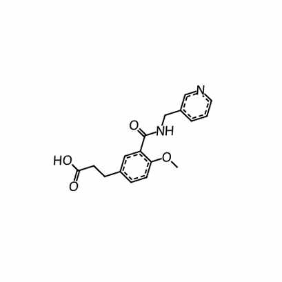 COc1ccc(CCC(=O)O)cc1C(=O)NCc1cccnc1